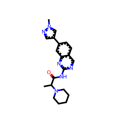 CC(C(=O)Nc1ncc2ccc(-c3cnn(C)c3)cc2n1)N1CCCCC1